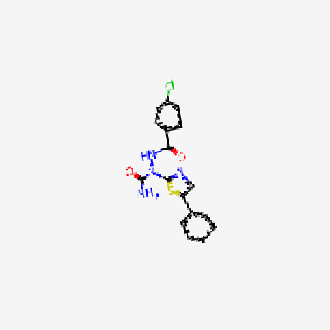 NC(=O)N(NC(=O)c1ccc(Cl)cc1)c1ncc(-c2ccccc2)s1